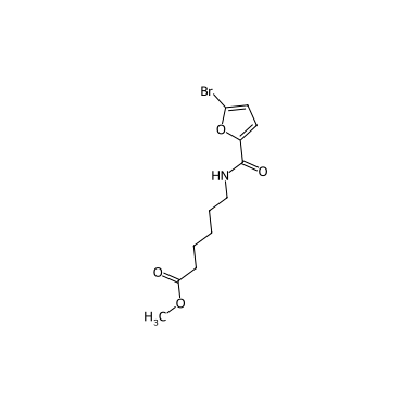 COC(=O)CCCCCNC(=O)c1ccc(Br)o1